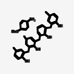 COc1ccc(N)cc1.Cc1ccc(O)c(Cc2cccc(Cc3cc(C)cc(Cc4cc(C)ccc4O)c3O)c2O)c1